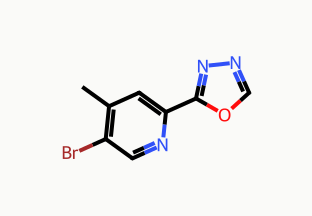 Cc1cc(-c2nnco2)ncc1Br